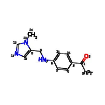 CCCC(=O)c1ccc(NCc2cncn2C)cc1